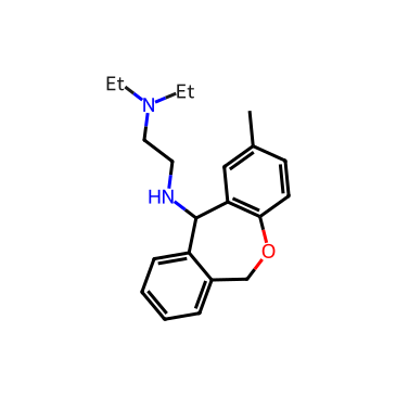 CCN(CC)CCNC1c2ccccc2COc2ccc(C)cc21